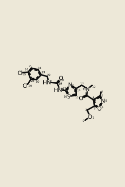 COCc1onc(C)c1C(=O)N(C)Cc1csc(NC(=O)NCc2ccc(Cl)c(Cl)c2)n1